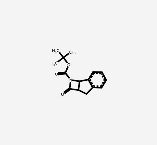 CC(C)(C)OC(=O)N1C(=O)C2Cc3ccccc3C21